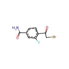 NC(=O)c1ccc(C(=O)CBr)c(F)c1